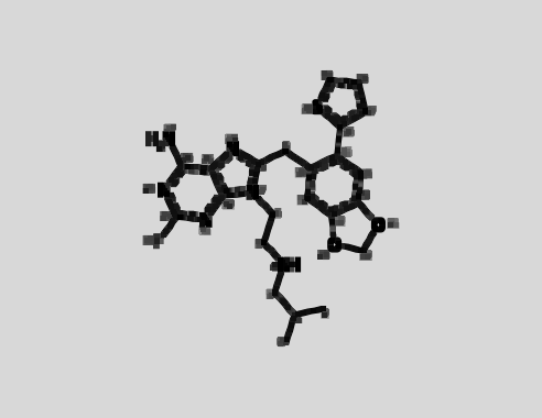 CC(C)CNCCn1c(Cc2cc3c(cc2-c2cccs2)OCO3)nc2c(N)nc(F)nc21